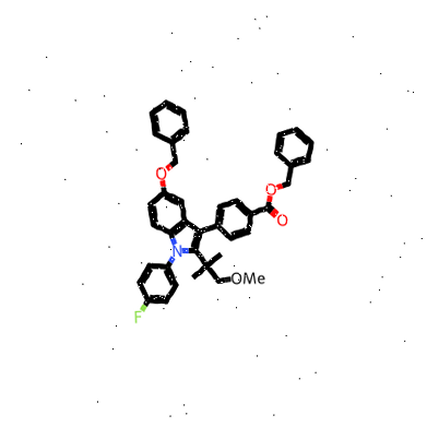 COCC(C)(C)c1c(-c2ccc(C(=O)OCc3ccccc3)cc2)c2cc(OCc3ccccc3)ccc2n1-c1ccc(F)cc1